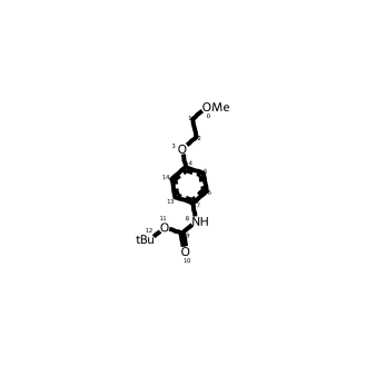 COCCOc1ccc(NC(=O)OC(C)(C)C)cc1